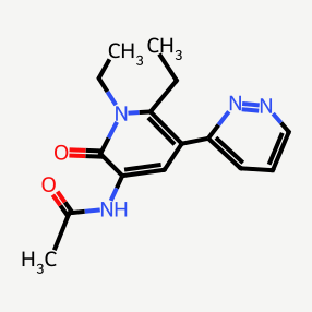 CCc1c(-c2cccnn2)cc(NC(C)=O)c(=O)n1CC